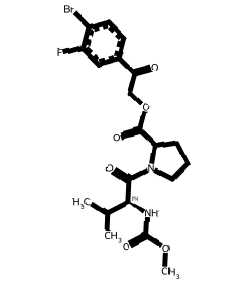 COC(=O)N[C@H](C(=O)N1CCCC1C(=O)OCC(=O)c1ccc(Br)c(F)c1)C(C)C